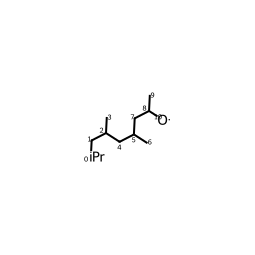 CC(C)CC(C)CC(C)CC(C)[O]